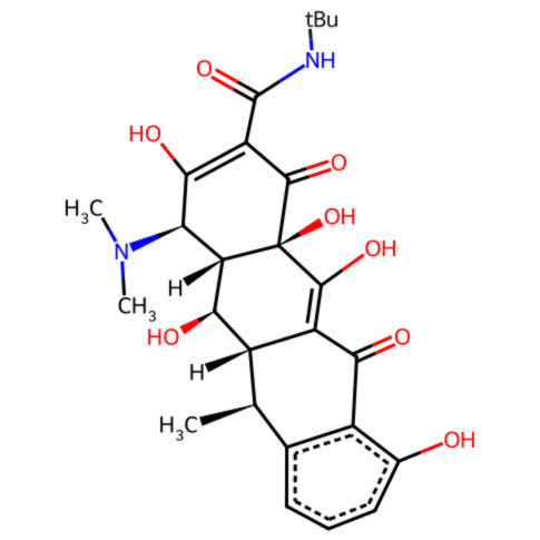 C[C@@H]1c2cccc(O)c2C(=O)C2=C(O)[C@@]3(O)C(=O)C(C(=O)NC(C)(C)C)=C(O)[C@H](N(C)C)[C@H]3[C@H](O)[C@H]21